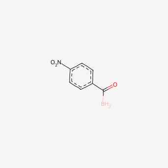 BC(=O)c1ccc([N+](=O)[O-])cc1